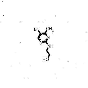 Cc1nc(NCCO)ncc1Br